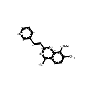 COc1c(C)ccc2c(C(C)(C)C)nc(/C=C/c3cccnc3)nc12